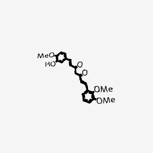 COc1ccc(C=CC(=O)CC(=O)C=Cc2cccc(OC)c2OC)cc1O